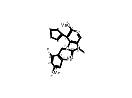 COc1ncc2c(c1C1=CCCC1)n(Cc1c(F)cc(SC)cc1F)c(=O)n2C